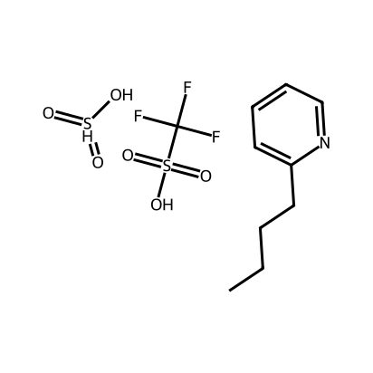 CCCCc1ccccn1.O=S(=O)(O)C(F)(F)F.O=[SH](=O)O